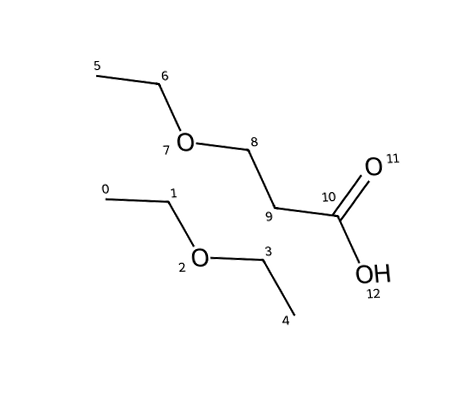 CCOCC.CCOCCC(=O)O